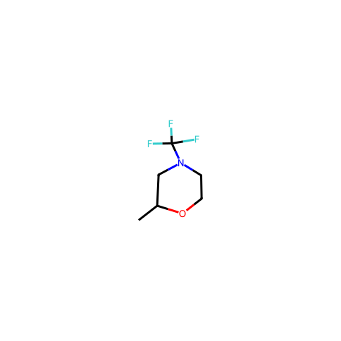 CC1CN(C(F)(F)F)CCO1